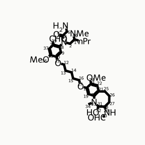 CCCC(CN(C(=O)CN)c1cc(OCCCCCOc2cc3c(cc2OC)CCCC(NC=O)C(O)N3C)c(OC)cc1C=O)NC